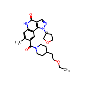 CCOCCC1CCN(C(=O)c2cc3c(cc2C)[nH]c(=O)c2cnn([C@H]4CCOC4)c23)CC1